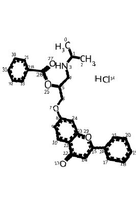 CC(C)NCC(COc1ccc2c(=O)cc(-c3ccccc3)oc2c1)OC(=O)c1ccccc1.Cl